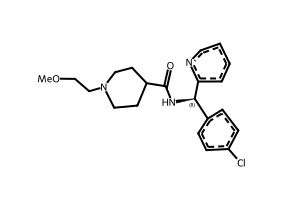 COCCN1CCC(C(=O)N[C@H](c2ccc(Cl)cc2)c2ccccn2)CC1